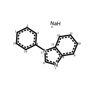 [NaH].c1ccc(-n2cnc3ccccc32)cc1